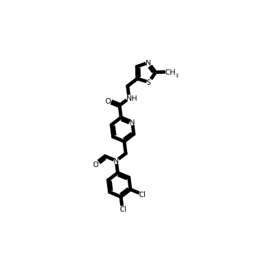 Cc1ncc(CNC(=O)c2ccc(CN(C=O)c3ccc(Cl)c(Cl)c3)cn2)s1